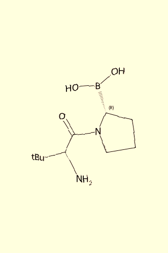 CC(C)(C)C(N)C(=O)N1CCC[C@H]1B(O)O